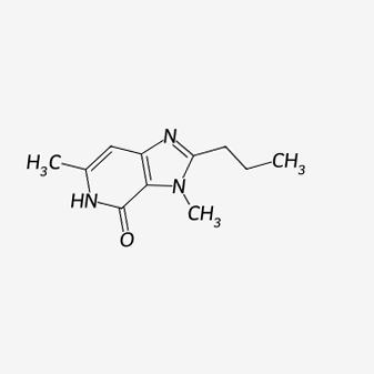 CCCc1nc2cc(C)[nH]c(=O)c2n1C